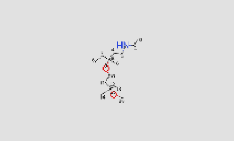 CCNCCC(C)(CC)OCCC(C)(C)OC